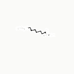 CCCCCCCCCCCCCC(=O)NC(C)(C)C